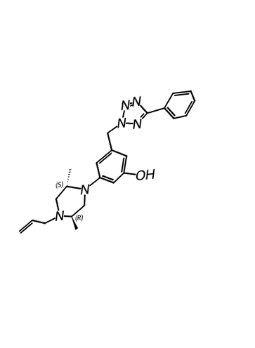 C=CCN1C[C@H](C)N(c2cc(O)cc(Cn3nnc(-c4ccccc4)n3)c2)C[C@H]1C